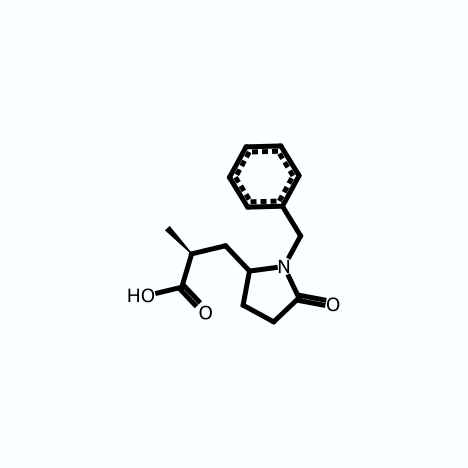 C[C@@H](CC1CCC(=O)N1Cc1ccccc1)C(=O)O